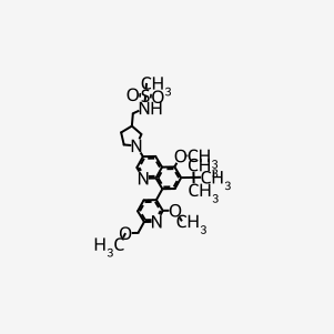 COCc1ccc(-c2cc(C(C)(C)C)c(OC)c3cc(N4CCC(CNS(C)(=O)=O)C4)cnc23)c(OC)n1